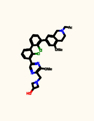 COc1cc(-c2cccc(-c3cccc(-c4cnc(CN5CC(O)C5)c(OC)n4)c3Cl)c2Cl)cc2c1CCN(CC(C)=O)C2